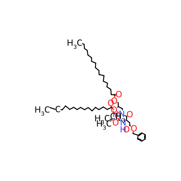 CCCCCCCCCCCCCCCCCC(=O)OCC(CNC(=O)C(CC(=O)OCc1ccccc1)NC(=O)OC(C)(C)C)OC(=O)CCCCCCCCCCCCCCCCC